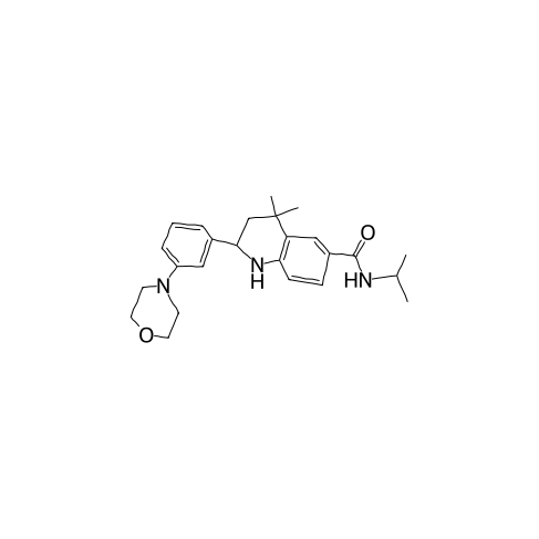 CC(C)NC(=O)c1ccc2c(c1)C(C)(C)CC(c1cccc(N3CCOCC3)c1)N2